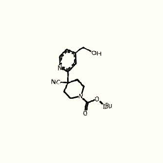 CC(C)(C)OC(=O)N1CCC(C#N)(c2cc(CO)ccn2)CC1